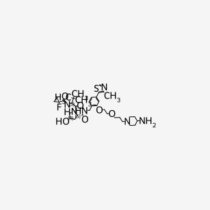 Cc1ncsc1-c1ccc(CNC(=O)[C@@H]2C[C@@H](O)CN2C(=O)[C@@H](NC(=O)C2(F)CC2)C(C)(C)C)c(OCCOCCCN2CCC(N)CC2)c1